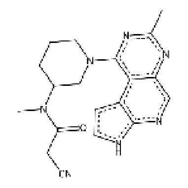 Cc1nc(N2CCCC(N(C)C(=O)CC#N)C2)c2c(cnc3[nH]ccc32)n1